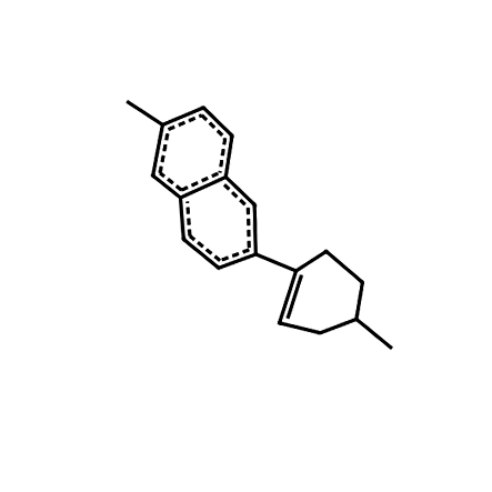 Cc1ccc2cc(C3=CCC(C)CC3)ccc2c1